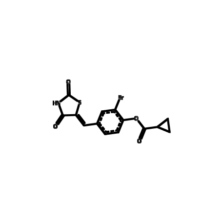 O=C1NC(=O)C(=Cc2ccc(OC(=O)C3CC3)c(Br)c2)S1